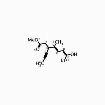 CC#CC(CC(=O)OC)/C(C)=C/C=C(/O)CC